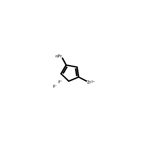 CCCC1=CC[C]([Zr+2])=C1.[F-].[F-]